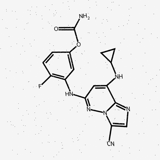 N#Cc1cnc2c(NC3CC3)cc(Nc3cc(OC(N)=O)ccc3F)nn12